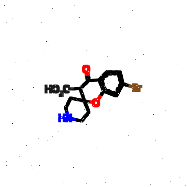 O=C(O)C1C(=O)c2ccc(Br)cc2OC12CCNCC2